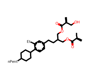 C=C(C)C(=O)OCC(CCc1ccc(C2CCC(CCCCC)CC2)c(CC)c1)COC(=O)C(=C)CO